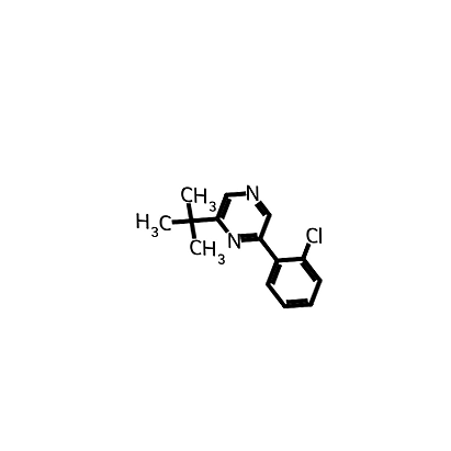 CC(C)(C)c1cncc(-c2ccccc2Cl)n1